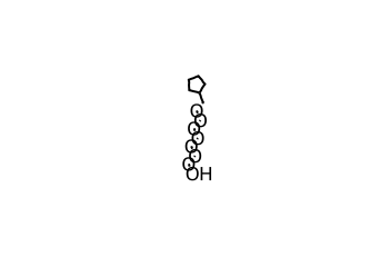 OOOOOOOOCC1CCCC1